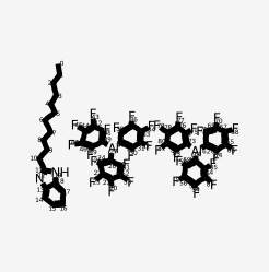 CCCCCCCCCCCc1nc2ccccc2[nH]1.Fc1c(F)c(F)[c]([Al]([c]2c(F)c(F)c(F)c(F)c2F)[c]2c(F)c(F)c(F)c(F)c2F)c(F)c1F.Fc1c(F)c(F)[c]([Al]([c]2c(F)c(F)c(F)c(F)c2F)[c]2c(F)c(F)c(F)c(F)c2F)c(F)c1F